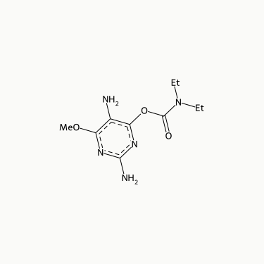 CCN(CC)C(=O)Oc1nc(N)nc(OC)c1N